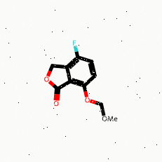 COCOc1ccc(F)c2c1C(=O)OC2